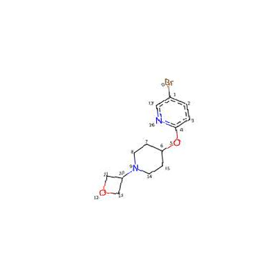 Brc1ccc(OC2CCN(C3COC3)CC2)nc1